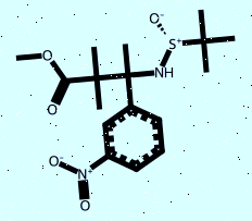 COC(=O)C(C)(C)C(C)(N[S@+]([O-])C(C)(C)C)c1cccc([N+](=O)[O-])c1